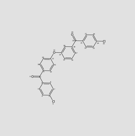 O=C(c1ccc(Cl)cc1)c1ccc(Oc2cccc(C(=O)c3ccc(Cl)cc3)c2)cc1